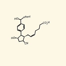 CCCCCC(O)c1ccc(C2[C@@H](C/C=C\CCCC(=O)O)C(C#N)C[C@H]2O)cc1